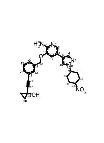 Nc1ncc(-c2cnn(C3CCC([N+](=O)[O-])CC3)c2)cc1OCc1cccc(C#CC2(O)CC2)c1